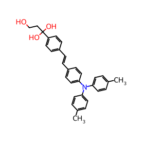 Cc1ccc(N(c2ccc(C)cc2)c2ccc(C=Cc3ccc(C(O)(O)CCO)cc3)cc2)cc1